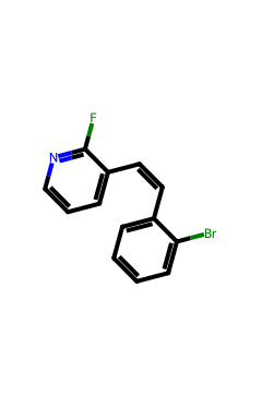 Fc1ncccc1/C=C\c1ccccc1Br